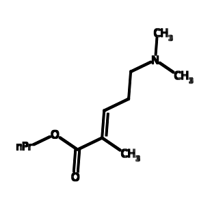 CCCOC(=O)C(C)=CCCN(C)C